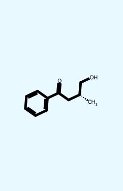 C[C@@H](CO)CC(=O)c1ccccc1